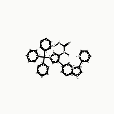 CN(C(=O)OC(C)(C)C)c1nn(C(c2ccccc2)(c2ccccc2)c2ccccc2)cc1-c1ccc2ncc(-c3ccccn3)n2c1